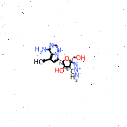 C#Cc1cc([C@@H]2O[C@@](CO)(N=[N+]=[N-])[C@@H](C)[C@@H]2O)n2ncnc(N)c12